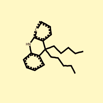 CCCCCC1(CCCCC)c2ccccc2Nc2ccccc21